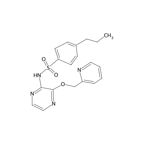 CCCc1ccc(S(=O)(=O)Nc2nccnc2OCc2ccccn2)cc1